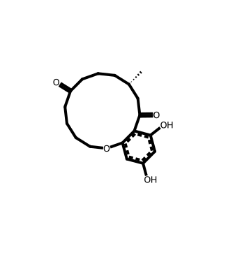 C[C@H]1CCCC(=O)CCCCOc2cc(O)cc(O)c2C(=O)C1